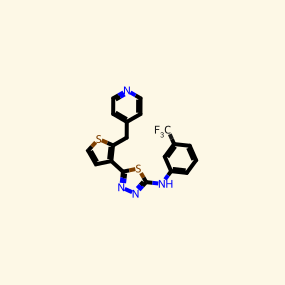 FC(F)(F)c1cccc(Nc2nnc(-c3ccsc3Cc3ccncc3)s2)c1